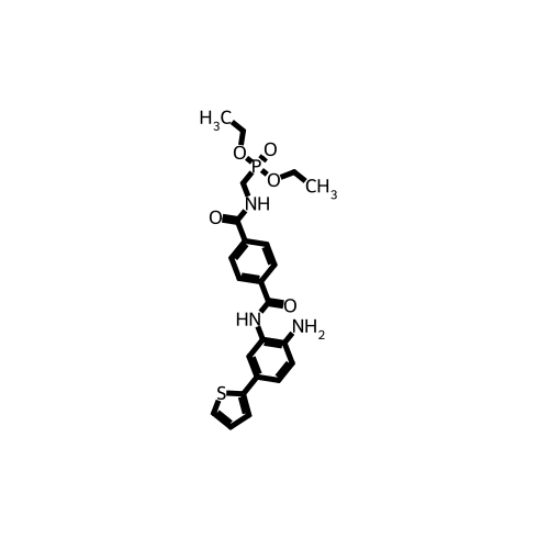 CCOP(=O)(CNC(=O)c1ccc(C(=O)Nc2cc(-c3cccs3)ccc2N)cc1)OCC